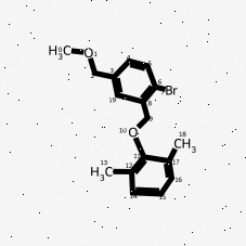 COCc1ccc(Br)c(COc2c(C)cccc2C)c1